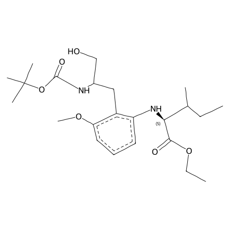 CCOC(=O)[C@@H](Nc1cccc(OC)c1CC(CO)NC(=O)OC(C)(C)C)C(C)CC